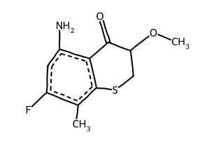 COC1CSc2c(C)c(F)cc(N)c2C1=O